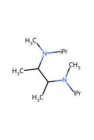 CC(C)N(C)C(C)C(C)N(C)C(C)C